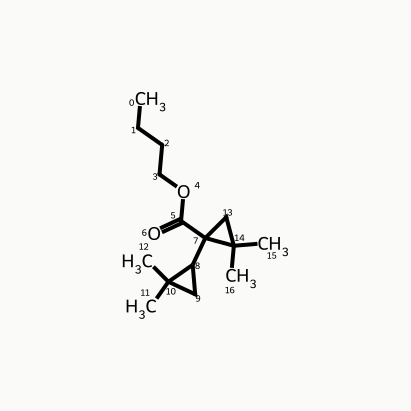 CCCCOC(=O)C1(C2CC2(C)C)CC1(C)C